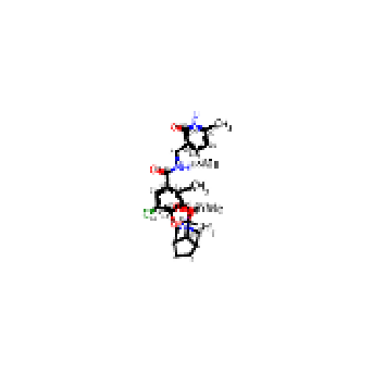 CNC(=O)N1CC2CCC(C1)C2C1(C)Oc2c(Cl)cc(C(=O)NCc3c(SC)cc(C)[nH]c3=O)c(C)c2O1